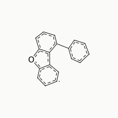 [c]1ccc2oc3cccc(-c4ccccc4)c3c2c1